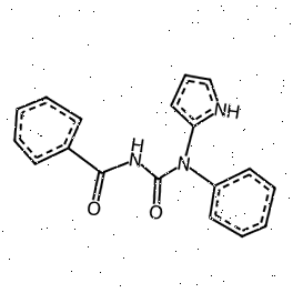 O=C(NC(=O)N(c1ccccc1)c1ccc[nH]1)c1ccccc1